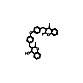 SC1c2ccccc2OC(I)N1Cc1ccc(Oc2ccc(CN3C(I)Oc4ccccc4C3I)cc2)cc1